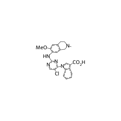 COc1cc2c(cc1Nc1ncc(Cl)c(-n3cc(C(=O)O)c4ccccc43)n1)CN(C)CC2